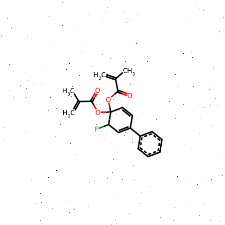 C=C(C)C(=O)OC1(OC(=O)C(=C)C)C=CC(c2ccccc2)=CC1F